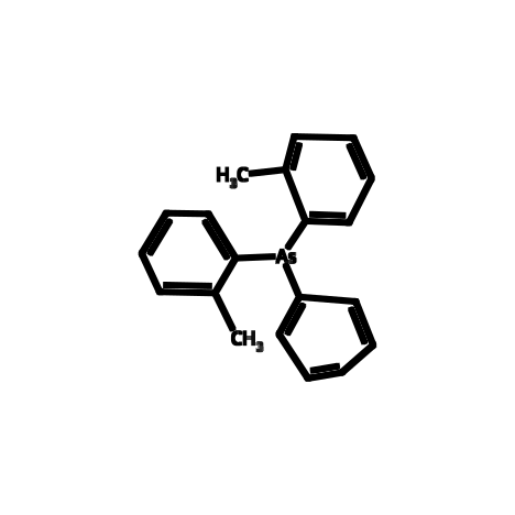 Cc1ccccc1[As](c1ccccc1)c1ccccc1C